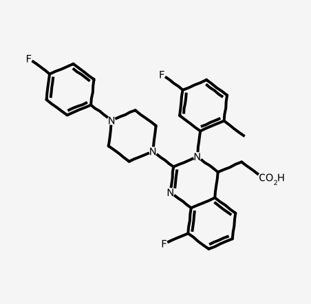 Cc1ccc(F)cc1N1C(N2CCN(c3ccc(F)cc3)CC2)=Nc2c(F)cccc2C1CC(=O)O